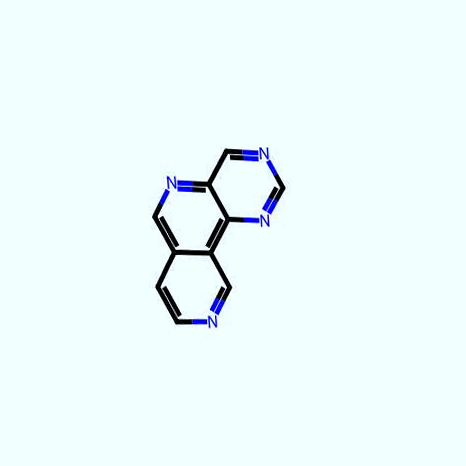 c1cc2cnc3cncnc3c2cn1